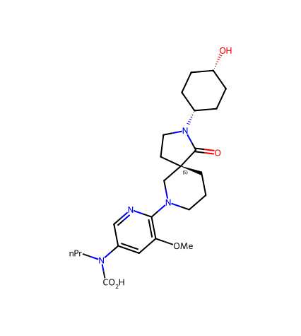 CCCN(C(=O)O)c1cnc(N2CCC[C@]3(CCN([C@H]4CC[C@@H](O)CC4)C3=O)C2)c(OC)c1